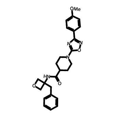 COc1ccc(-c2noc(N3CCC(C(=O)NC4(Cc5ccccc5)COC4)CC3)n2)cc1